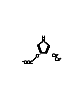 O=C([O-])[O-].[Cs+].[Cs+].c1cc[nH]c1